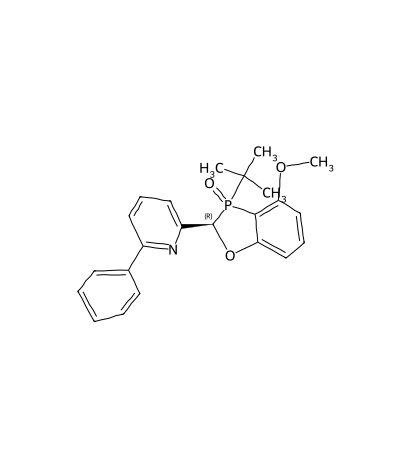 COc1cccc2c1P(=O)(C(C)(C)C)[C@H](c1cccc(-c3ccccc3)n1)O2